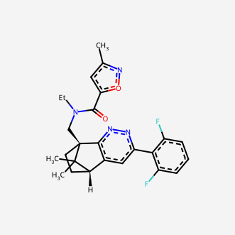 CCN(C[C@@]12CC[C@@H](c3cc(-c4c(F)cccc4F)nnc31)C2(C)C)C(=O)c1cc(C)no1